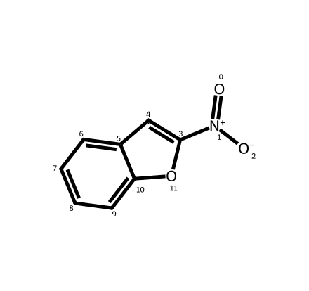 O=[N+]([O-])c1[c]c2ccccc2o1